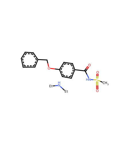 CCNCC.CS(=O)(=O)NC(=O)c1ccc(OCc2ccccc2)cc1